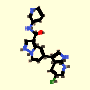 O=C(Nc1cccnc1)c1cnn2ccc(-c3c[nH]c4ncc(Cl)cc34)cc12